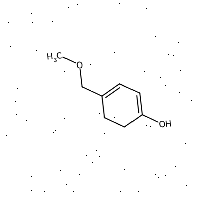 COCC1=CC=C(O)CC1